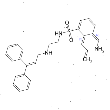 C=C/C=c1/c(S(=O)(=O)NCCNCC=C(c2ccccc2)c2ccccc2)ccc/c1=C/N